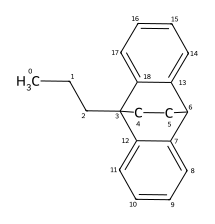 CCCC12CCC(c3ccccc31)c1ccccc12